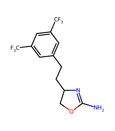 NC1=NC(CCc2cc(C(F)(F)F)cc(C(F)(F)F)c2)CO1